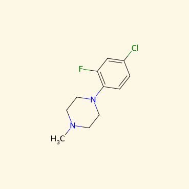 CN1CCN(c2ccc(Cl)cc2F)CC1